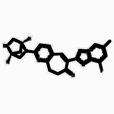 Cc1cc(F)c2nc(C3=Cc4ccc(N5C[C@@H]6C[C@H]5CN6)nc4CCC3=O)cn2c1